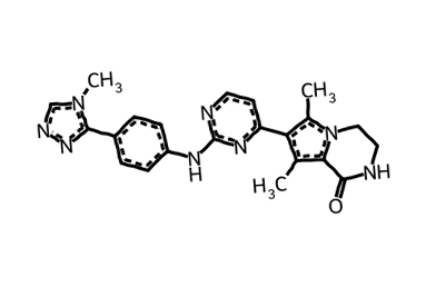 Cc1c(-c2ccnc(Nc3ccc(-c4nncn4C)cc3)n2)c(C)n2c1C(=O)NCC2